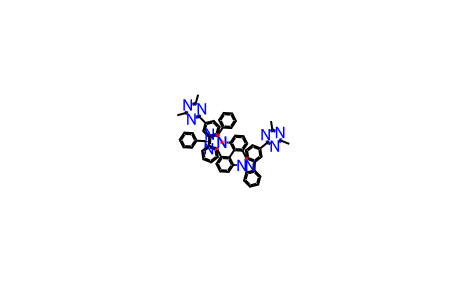 Cc1nc(C)nc(-c2ccc3c(c2)c2ccccc2n3-c2cccc(C#N)c2-c2c(-c3nc(-c4ccccc4)nc(-c4ccccc4)n3)cccc2-n2c3ccccc3c3cc(-c4nc(C)nc(C)n4)ccc32)n1